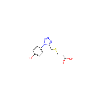 O=C(O)CCSCc1nnnn1-c1ccc(O)cc1